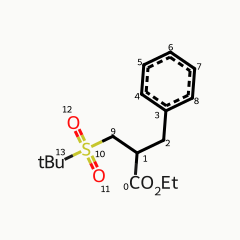 CCOC(=O)C(Cc1ccccc1)CS(=O)(=O)C(C)(C)C